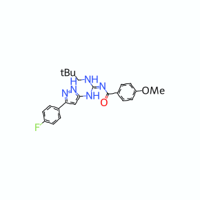 COc1ccc(C(=O)/N=C(/NCC(C)(C)C)Nc2cc(-c3ccc(F)cc3)n[nH]2)cc1